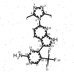 Cc1nnc(C)n1-c1ccc2c(-c3nc(N)ncc3C(F)(F)F)c[nH]c2n1